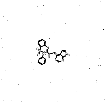 CC(Nc1ncnc2[nH]ccc12)C1=Nc2ccccc2S(=O)(=O)N1c1ccccc1